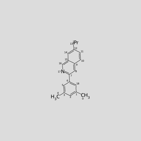 Cc1cc(C)cc(-c2cc3ccc(C(C)C)cc3cn2)c1